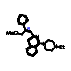 CCN1CCN(c2nc(/C=C(\COC)c3ccccc3)cc3ccccc23)CC1